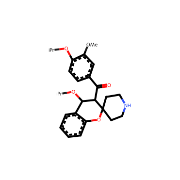 COc1cc(C(=O)C2C(OC(C)C)c3ccccc3OC23CCNCC3)ccc1OC(C)C